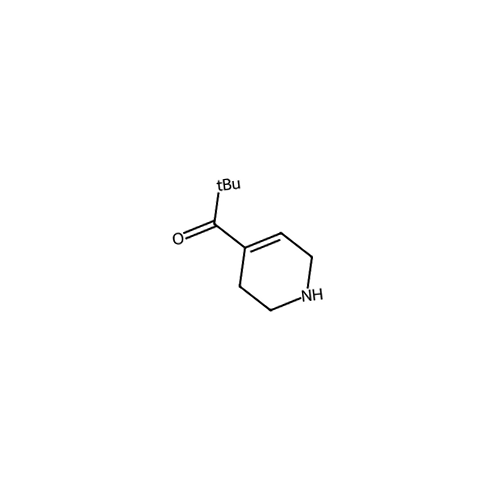 CC(C)(C)C(=O)C1=CCNCC1